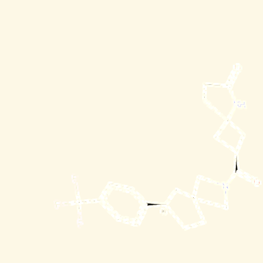 O=C1CC[C@]2(C[C@H](C(=O)N3CC4(CC[C@@H](c5ccc(C(F)(F)F)cc5)C4)C3)C2)N1